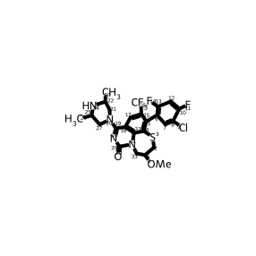 COC1CSc2c(-c3cc(Cl)c(F)cc3F)c(C(F)(F)F)cc3c(N4CC(C)NC(C)C4)nc(=O)n(c23)C1